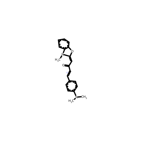 CN(C)c1ccc(/C=C/C(=O)C=C2Oc3ccccc3N2C)cc1